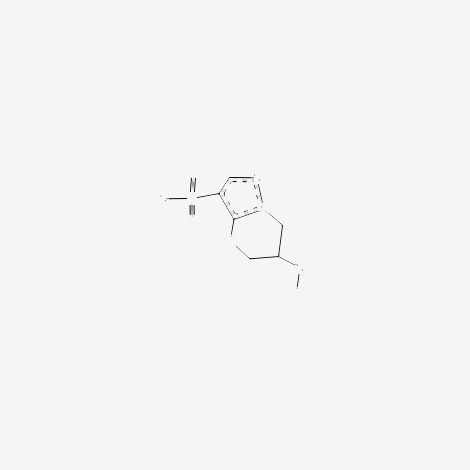 NS(=O)(=O)c1cnn2c1OCC(NC(=O)O)C2